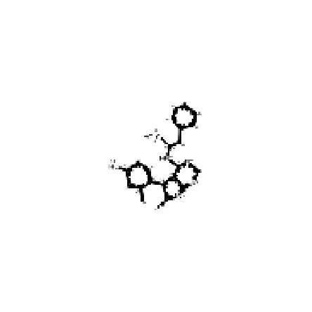 CCc1sc2ncnc(N[C@H](Cc3ccccc3)C(=O)O)c2c1-c1ccc(O)cc1C